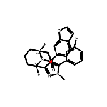 Cn1nc2c(c1-c1cccc(F)c1)C[C@H]1CCC[C@@H]2N1C(=O)c1cnc2ccoc2c1